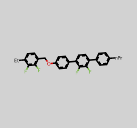 CCCc1ccc(-c2ccc(-c3ccc(OCc4ccc(CC)c(F)c4F)cc3)c(F)c2F)cc1